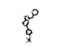 FC(F)(F)Oc1ccc(-c2cn3c(CC4CCCCO4)nnc3cn2)cc1